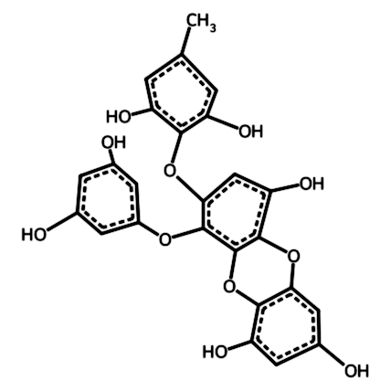 Cc1cc(O)c(Oc2cc(O)c3c(c2Oc2cc(O)cc(O)c2)Oc2c(O)cc(O)cc2O3)c(O)c1